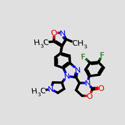 Cc1noc(C)c1-c1ccc2c(c1)nc(C1CCOC(=O)N1c1ccc(F)c(F)c1)n2C1CCN(C)C1